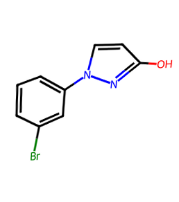 Oc1ccn(-c2cccc(Br)c2)n1